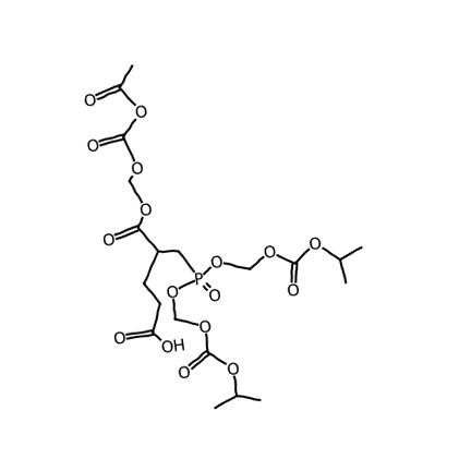 CC(=O)OC(=O)OCOC(=O)C(CCC(=O)O)CP(=O)(OCOC(=O)OC(C)C)OCOC(=O)OC(C)C